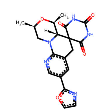 C[C@@H]1CN2c3ncc(-c4ncco4)cc3CC3(C(=O)NC(=O)NC3=O)[C@H]2[C@H](C)O1